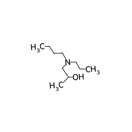 CCCCN(CCC)CC(C)O